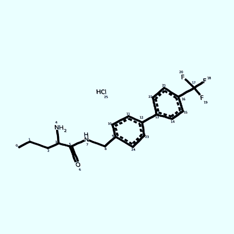 CCCC(N)C(=O)NCc1ccc(-c2ccc(C(F)(F)F)cc2)cc1.Cl